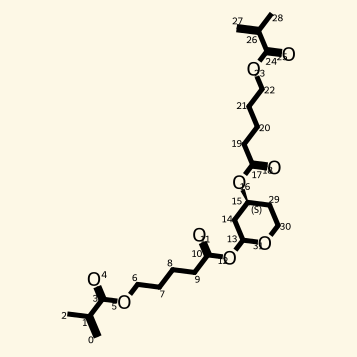 C=C(C)C(=O)OCCCCC(=O)OC1C[C@@H](OC(=O)CCCCOC(=O)C(=C)C)CCO1